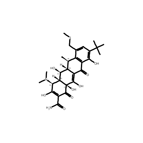 CSCc1cc(C(C)(C)C)c(O)c2c1[C@H](C)[C@@H]1C(=C(O)[C@]3(O)C(=O)C(C(N)=O)=C(O)[C@@H](N(C)C)[C@@H]3[C@H]1O)C2=O